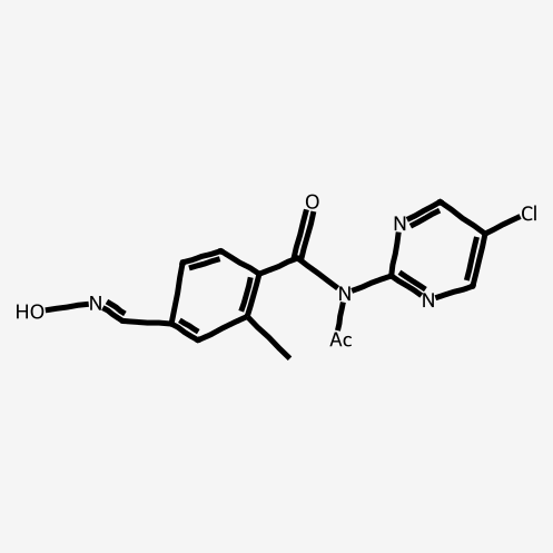 CC(=O)N(C(=O)c1ccc(C=NO)cc1C)c1ncc(Cl)cn1